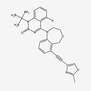 BC(B)(B)n1c(=O)nc(N2CCOCc3c(C#Cc4coc(C)n4)cccc32)c2c(F)cccc21